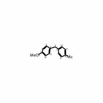 COc1ccc(Cc2ccc(C(C)=O)cc2)cc1